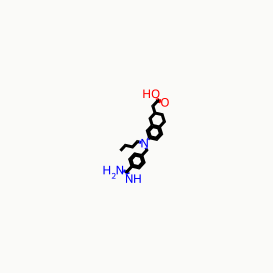 CCCCN(Cc1ccc(C(=N)N)cc1)c1ccc2c(c1)CC(CC(=O)O)CC2